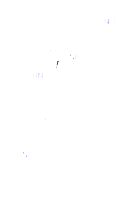 NCCCNC(=O)[C@H]1Cc2cc(c3c(C4=CCNSc5ccccc54)cccc3c2)OCCC(=O)N1